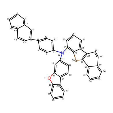 c1ccc2cc(-c3ccc(N(c4ccc5c(c4)oc4ccccc45)c4cccc5c4sc4c6ccccc6ccc54)cc3)ccc2c1